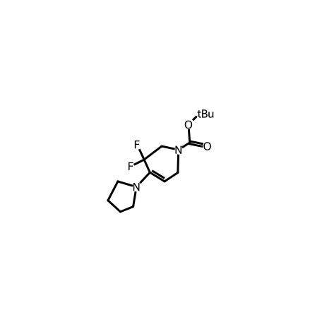 CC(C)(C)OC(=O)N1CC=C(N2CCCC2)C(F)(F)C1